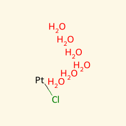 O.O.O.O.O.O.[Cl][Pt]